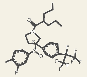 CCCC(CCC)C(=O)N1CC[C@](c2ccc(C(F)(C(F)(F)F)C(F)(F)F)cc2)([S+]([O-])c2ccc(C)c(F)c2)C1